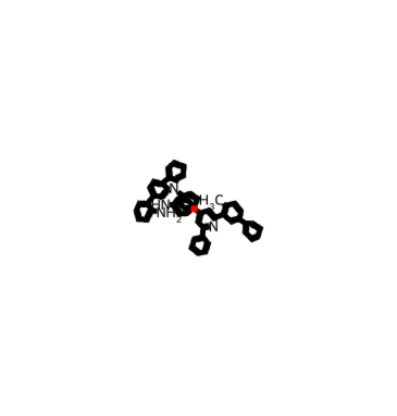 Cc1ccc(-c2ccccc2)cc1-c1cc(-c2ccc(-n3c4ccccc4c4ccc(-c5ccccc5N)c(Nc5ccccc5)c43)cc2)cc(-c2ccccc2)n1